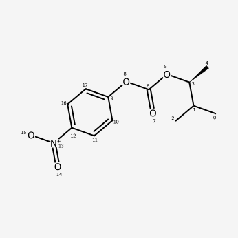 CC(C)[C@H](C)OC(=O)Oc1ccc([N+](=O)[O-])cc1